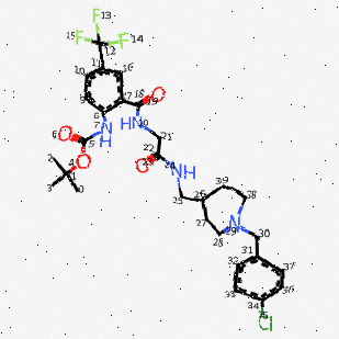 CC(C)(C)OC(=O)Nc1ccc(C(F)(F)F)cc1C(=O)NCC(=O)NCC1CCN(Cc2ccc(Cl)cc2)CC1